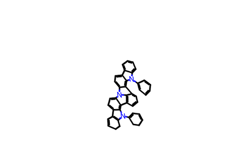 C1=CCCC(n2c3c(c4ccc5c(c6cccc7c8c9c(ccc8n5c67)c5ccccc5n9-c5ccccc5)c42)C=CCC3)=C1